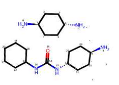 N[C@H]1CC[C@H](N)CC1.N[C@H]1CC[C@H](NC(=O)NC2CCCCC2)CC1